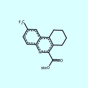 COC(=O)c1nc2ccc(C(F)(F)F)cc2c2c1CCCC2